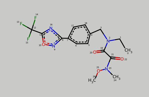 CCN(Cc1ccc(-c2noc(C(F)(F)F)n2)cc1)C(=O)C(=O)N(C)OC